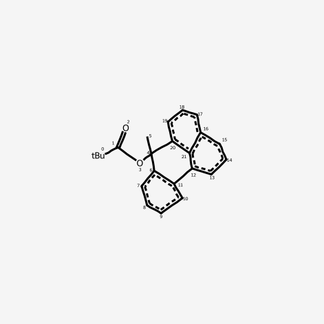 CC(C)(C)C(=O)OC1(C)c2ccccc2-c2cccc3cccc1c23